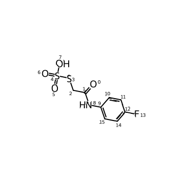 O=C(CSS(=O)(=O)O)Nc1ccc(F)cc1